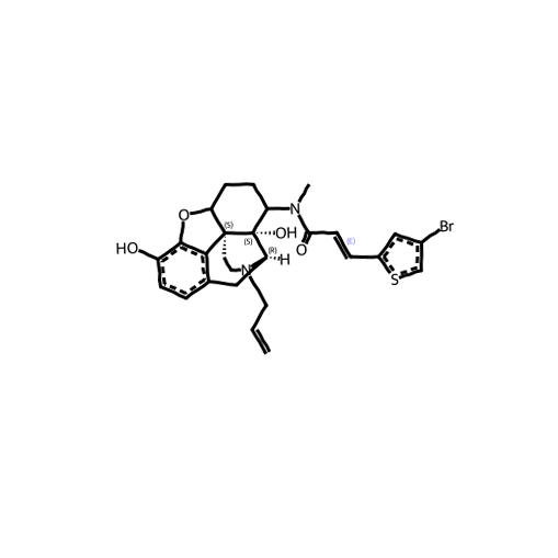 C=CCN1CC[C@]23c4c5ccc(O)c4OC2CCC(N(C)C(=O)/C=C/c2cc(Br)cs2)[C@@]3(O)[C@H]1C5